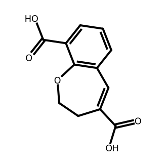 O=C(O)C1=Cc2cccc(C(=O)O)c2OCC1